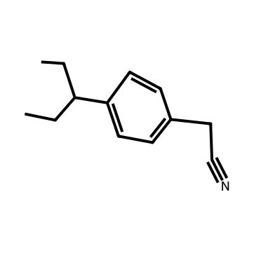 CCC(CC)c1ccc(CC#N)cc1